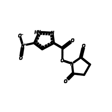 O=C(ON1C(=O)CCC1=O)c1cc([N+](=O)[O-])[nH]n1